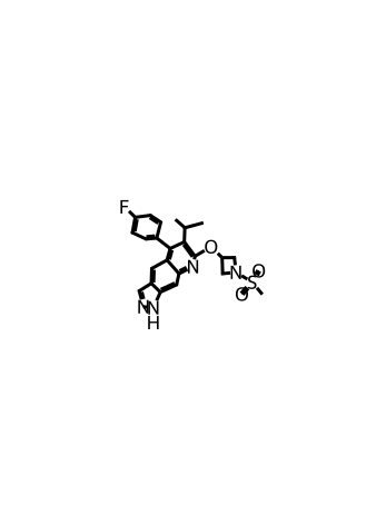 CC(C)c1c(OC2CN(S(C)(=O)=O)C2)nc2cc3[nH]ncc3cc2c1-c1ccc(F)cc1